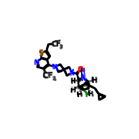 O=C([C@H]1N[C@H]2CC[C@@H]1[C@H](F)[C@@H]2CC1CC1)N1CC2(C1)CN(c1c(C(F)(F)F)cnc3sc(CC(F)(F)F)cc13)C2